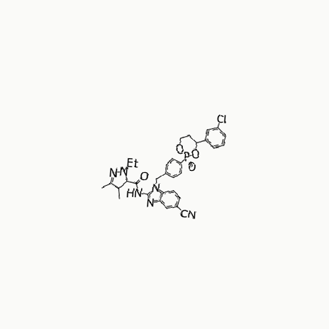 CCN1N=C(C)C(C)C1C(=O)Nc1nc2cc(C#N)ccc2n1Cc1ccc(P2(=O)OCCC(c3cccc(Cl)c3)O2)cc1